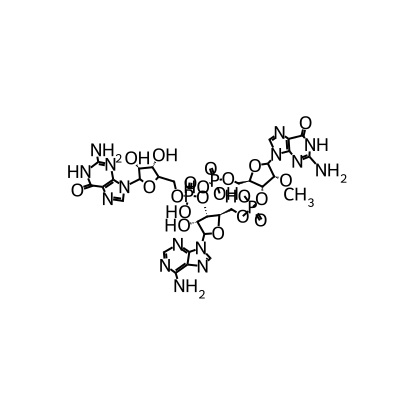 CO[C@H]1C(n2cnc3c(=O)[nH]c(N)nc32)O[C@H](COP(=O)(O)O)[C@H]1OP(=O)(O)OC[C@H]1OC(n2cnc3c(N)ncnc32)[C@H](O)[C@@H]1OP(=O)(O)OCC1OC(n2cnc3c(=O)[nH]c(N)nc32)[C@H](O)[C@@H]1O